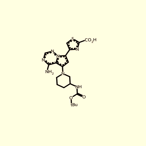 CC(C)(C)OC(=O)NC1CCCN(c2cc(-c3csc(C(=O)O)n3)n3ncnc(N)c23)C1